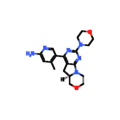 Cc1cc(N)ncc1-c1nc(N2CCOCC2)nc2c1C[C@@H]1COCCN21